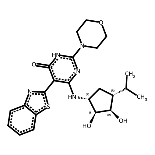 CC(C)[C@H]1C[C@@H](Nc2nc(N3CCOCC3)[nH]c(=O)c2-c2nc3ccccc3s2)[C@H](O)[C@@H]1O